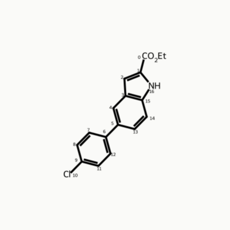 CCOC(=O)c1cc2cc(-c3ccc(Cl)cc3)ccc2[nH]1